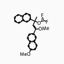 CO/C(=C\C(C)(OB(F)F)c1ccc2ccccc2c1)c1ccc2cc(OC)ccc2c1